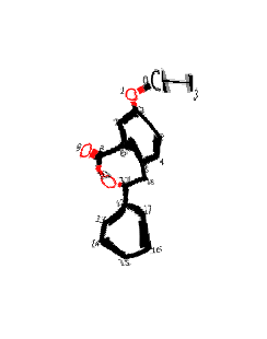 COc1ccc2c(c1)C(=O)OC(c1ccccc1)C2